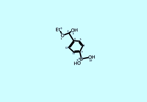 CCOC(O)c1ccc(B(O)O)cc1